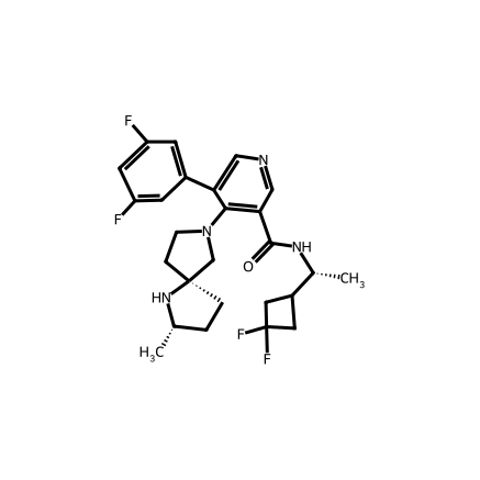 C[C@H]1CC[C@@]2(CCN(c3c(C(=O)N[C@H](C)C4CC(F)(F)C4)cncc3-c3cc(F)cc(F)c3)C2)N1